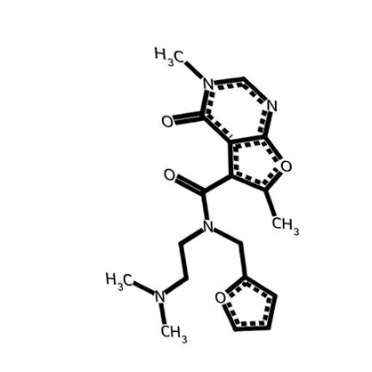 Cc1oc2ncn(C)c(=O)c2c1C(=O)N(CCN(C)C)Cc1ccco1